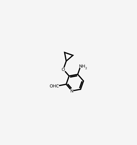 Nc1ccnc(C=O)c1OC1CC1